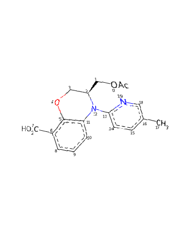 CC(=O)OC[C@@H]1COc2c(C(=O)O)cccc2N1c1ccc(C)cn1